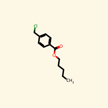 CCCCCOC(=O)c1ccc(CCl)cc1